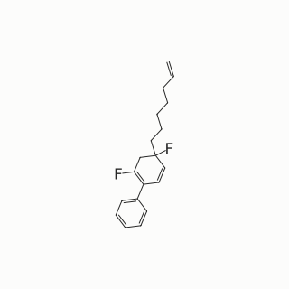 C=CCCCCCC1(F)C=CC(c2ccccc2)=C(F)C1